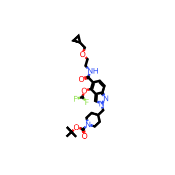 CC(C)(C)OC(=O)N1CCC(Cn2cc3c(OC(F)F)c(C(=O)NCCOCC4CC4)ccc3n2)CC1